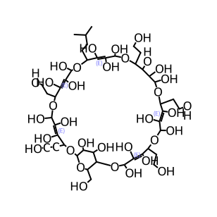 CC(C)CCC1OC(O)/C(O)=C(\O)C(CCO)OC(O)/C(O)=C(\O)C(CCO)OC2OC(CO)C(OC(O)/C(O)=C(\O)C(CCO)OC(O)/C(O)=C(\O)C(CCO)OC(O)C(O)C(O)C(CCO)OC(O)/C(O)=C/1O)C(O)C2O